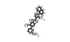 Nc1nccc(-c2ccc(NC(=O)c3cnn(-c4cccc5ccncc45)c3C(F)(F)F)cc2Cl)n1